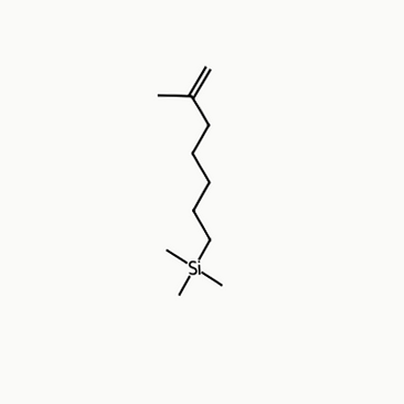 C=C(C)CCCCC[Si](C)(C)C